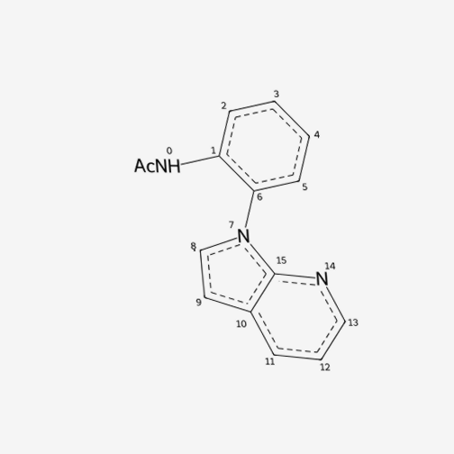 CC(=O)Nc1ccccc1-n1[c]cc2cccnc21